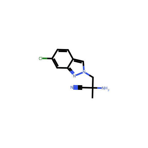 CC(N)(C#N)Cn1cc2ccc(Cl)cc2n1